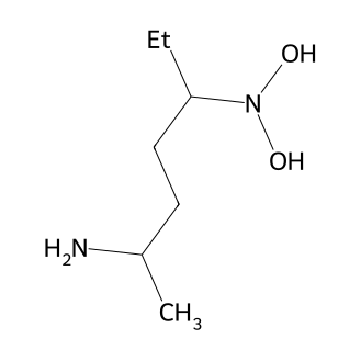 CCC(CCC(C)N)N(O)O